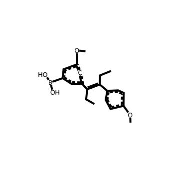 CC/C(=C(/CC)c1cc(OC)cc(B(O)O)c1)c1ccc(OC)cc1